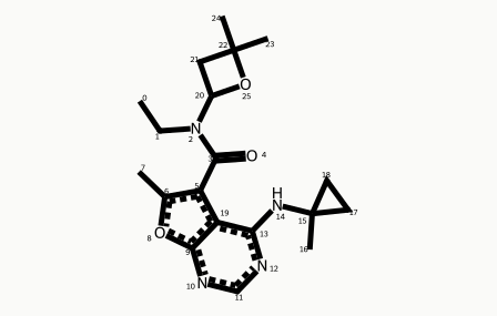 CCN(C(=O)c1c(C)oc2ncnc(NC3(C)CC3)c12)C1CC(C)(C)O1